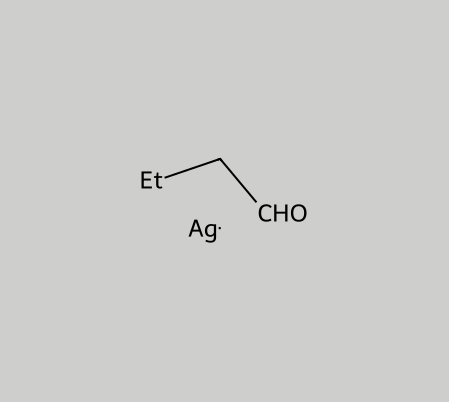 CCCC=O.[Ag]